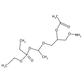 CCOP(=O)(CC)OC(C)OCC(CON)OC(C)=O